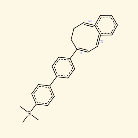 C[Si](C)(C)c1ccc(-c2ccc(/C3=C/C=c4/cccc/c4=C/CC3)cc2)cc1